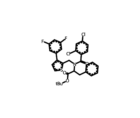 CC(C)(C)OC(=O)C(Cc1ccccc1)N(Cc1sccc1-c1cc(F)cc(F)c1)C(=O)c1ccc(Cl)cc1Cl